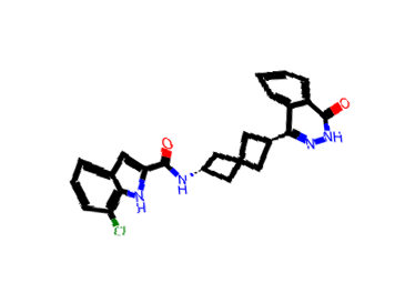 O=C(N[C@H]1CC2(C1)C[C@H](c1n[nH]c(=O)c3ccccc31)C2)c1cc2cccc(Cl)c2[nH]1